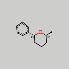 C[C@H]1CCC[C@H](c2ccccc2)O1